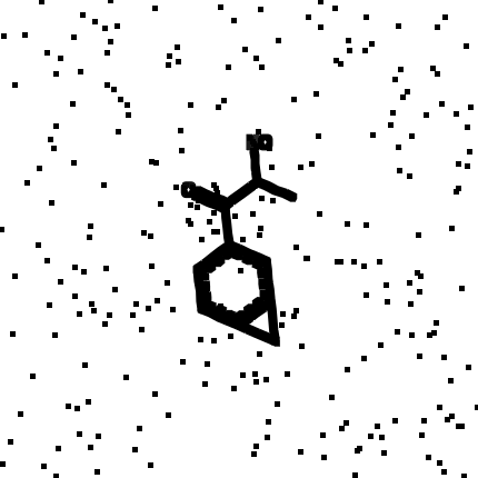 CC(N=O)C(=O)c1ccc2c(c1)C2